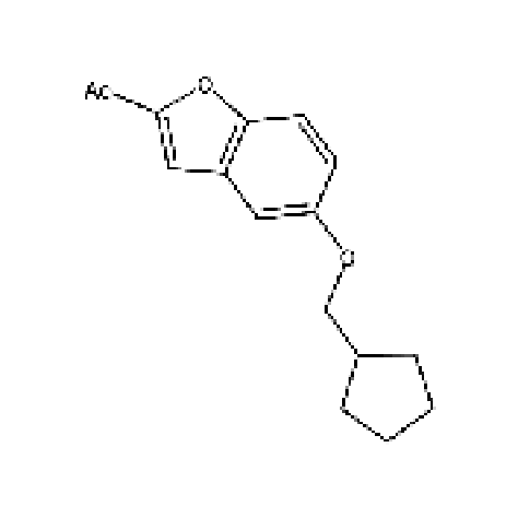 [CH2]C(=O)c1cc2cc(OCC3CCCC3)ccc2o1